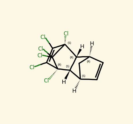 ClC1=C(Cl)[C@]2(Cl)[C@@H]3[C@@H]([C@H]4C=C[C@@H]3C4)[C@@]1(Cl)C2(Cl)Cl